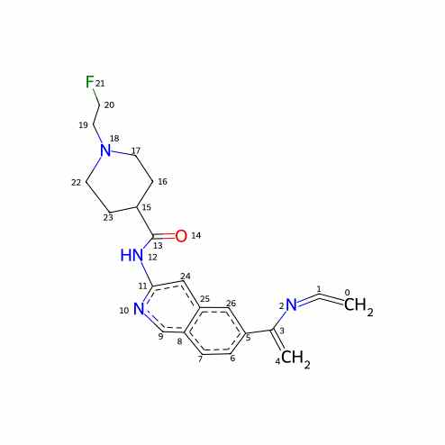 C=C=NC(=C)c1ccc2cnc(NC(=O)C3CCN(CCF)CC3)cc2c1